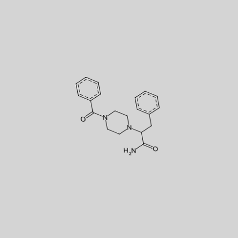 NC(=O)C(Cc1ccccc1)N1CCN(C(=O)c2ccccc2)CC1